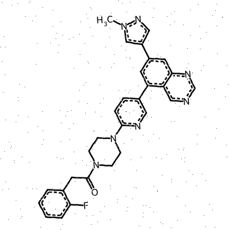 Cn1cc(-c2cc(-c3ccc(N4CCN(C(=O)Cc5ccccc5F)CC4)nc3)c3cncnc3c2)cn1